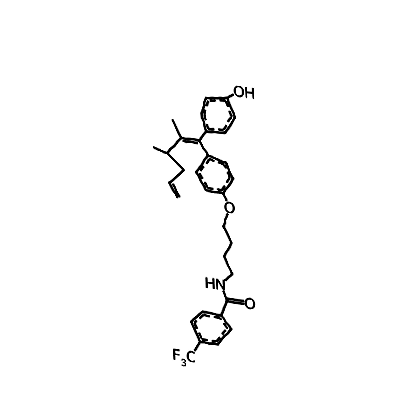 C=CCC(C)/C(C)=C(/c1ccc(O)cc1)c1ccc(OCCCCNC(=O)c2ccc(C(F)(F)F)cc2)cc1